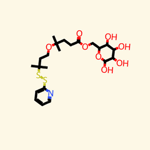 CC(C)(CCC(=O)OCC1OC(O)C(O)C(O)C1O)OCCC(C)(C)SSc1ccccn1